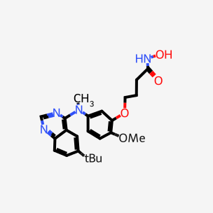 COc1ccc(N(C)c2ncnc3ccc(C(C)(C)C)cc23)cc1OCCCC(=O)NO